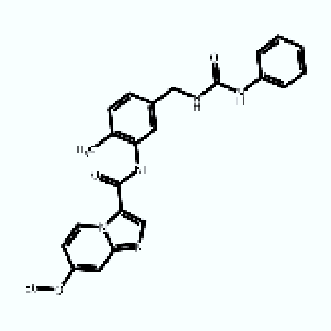 CCOc1ccn2c(C(=O)Nc3cc(CNC(=O)Nc4ccccc4)ccc3C)cnc2c1